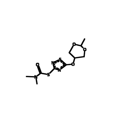 CC1OCC(Oc2nc(SC(=O)N(C)C)ns2)CO1